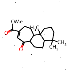 COC(=O)C1=CC(=O)C2CCC3C(C)(C)CCCC3(C)C2CC1